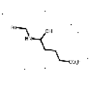 CCC(C)CNC(O)CCCC(=O)O